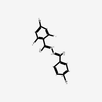 Fc1cc(Br)cc(F)c1/C(Cl)=N/N=C(\Cl)c1ccc(Br)cc1